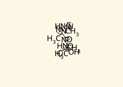 Cc1cnc(Nc2ccnn2C)nc1-c1coc(C(=O)N[C@@H](c2ccccc2)C(C)(C)O)n1